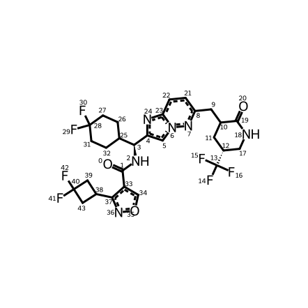 O=C(N[C@H](c1cn2nc(CC3C[C@@H](C(F)(F)F)CNC3=O)ccc2n1)C1CCC(F)(F)CC1)c1conc1C1CC(F)(F)C1